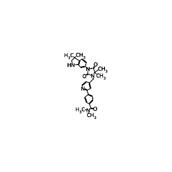 CN(C)C(=O)c1ccc(-c2cc(CN3C(=O)N(c4ccc5c(c4)NCC5(C)C)C(=O)C3(C)C)ccn2)cc1